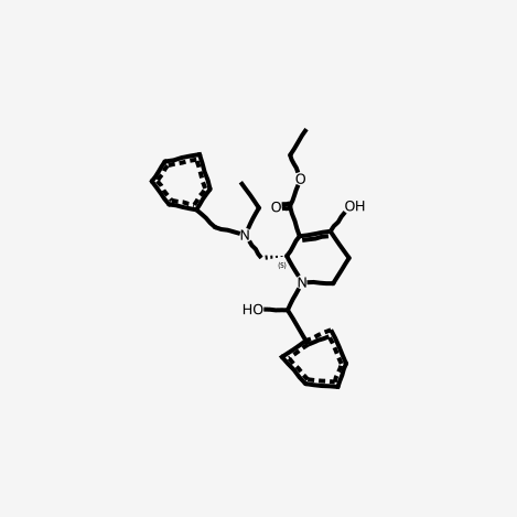 CCOC(=O)C1=C(O)CCN(C(O)c2ccccc2)[C@@H]1CN(CC)Cc1ccccc1